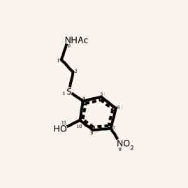 CC(=O)NCCSc1ccc([N+](=O)[O-])cc1O